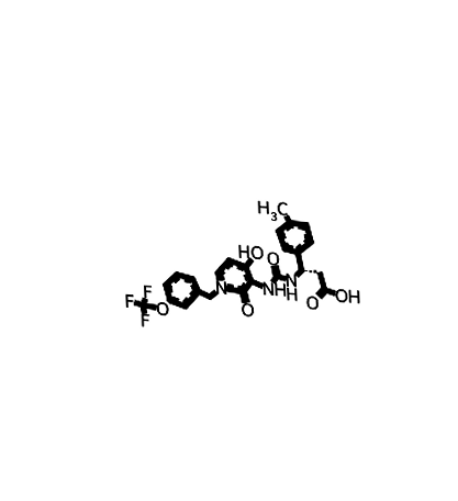 Cc1ccc([C@H](CC(=O)O)NC(=O)Nc2c(O)ccn(Cc3cccc(OC(F)(F)F)c3)c2=O)cc1